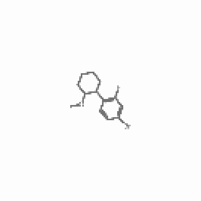 COC1CCCCC1c1ccc(Br)cc1F